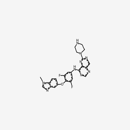 Cn1cnc2cc(Oc3c(F)cc(Nc4ncnc5cnc(N6CCNCC6)nc45)cc3F)ccc21